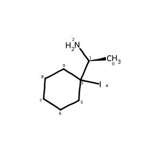 C[C@H](N)C1(I)CCCCC1